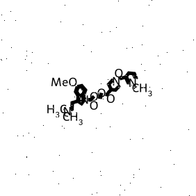 COc1ccc2c(c1)c(CCN(C)C)cn2C(=O)OCOC(=O)C1CCN(C(=O)C2=CN(C)C=CC2)CC1